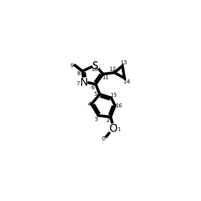 COc1ccc(-c2nc(C)sc2C2CC2)cc1